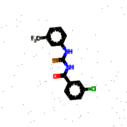 O=C(NC(=S)Nc1cccc(C(F)(F)F)c1)c1cccc(Cl)c1